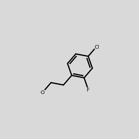 [O]CCc1ccc(Cl)cc1F